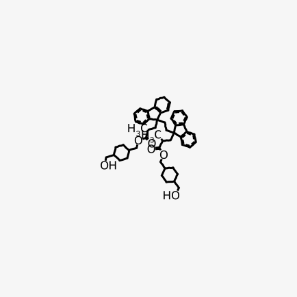 CC(CC1(CCC2(CC(C)C(=O)OCC3CCC(CO)CC3)c3ccccc3-c3ccccc32)C2=C(CCC=C2)c2ccccc21)C(=O)OCC1CCC(CO)CC1